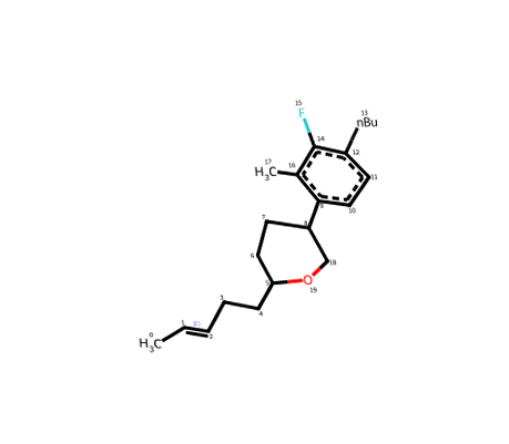 C/C=C/CCC1CCC(c2ccc(CCCC)c(F)c2C)CO1